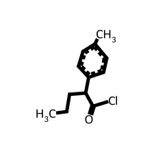 CCCC(C(=O)Cl)c1ccc(C)cc1